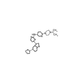 CC(C)N1CCN(c2ccc(Nc3nccc(-c4cnc5ccc(-c6ccsc6)cn45)n3)cn2)CC1